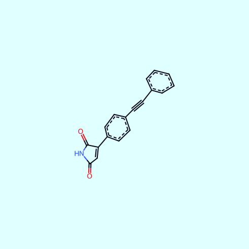 O=C1C=C(c2ccc(C#Cc3ccccc3)cc2)C(=O)N1